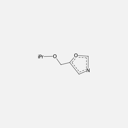 CC(C)OCc1cnco1